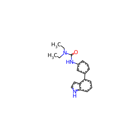 CCN(CC)C(=O)Nc1cccc(-c2cccc3[nH]ccc23)c1